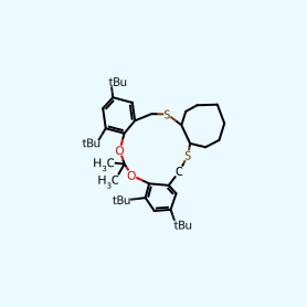 CC1(C)Oc2c(cc(C(C)(C)C)cc2C(C)(C)C)CSC2CCCCCCC2SCc2cc(C(C)(C)C)cc(C(C)(C)C)c2O1